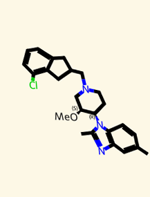 CO[C@H]1CN(CC2Cc3cccc(Cl)c3C2)CC[C@H]1n1c(C)nc2cc(C)ccc21